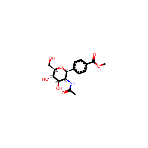 COC(=O)c1ccc([C@@H]2O[C@H](CO)[C@@H](O)[C@H](O)[C@@H]2NC(C)=O)cc1